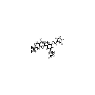 Cc1cnc(-c2cc(OC[C@H]3CCCN3C)cc(C(=O)NC(C)c3cnc(C(F)(F)F)nc3)c2)s1